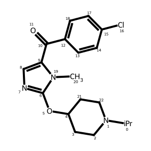 CC(C)N1CCC(Oc2ncc(C(=O)c3ccc(Cl)cc3)n2C)CC1